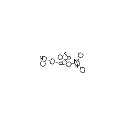 c1ccc(-c2cc(-c3ccccc3)nc(-c3ccc4c(c3)C3(c5ccccc5Sc5ccccc53)c3cc(-c5ccc(-c6ccnc7ccccc67)cc5)ccc3-4)n2)cc1